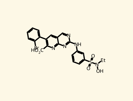 CCN(O)S(=O)(=O)c1cccc(Nc2ncc3cc(-c4ccccc4Br)c(C(=O)O)nc3n2)c1